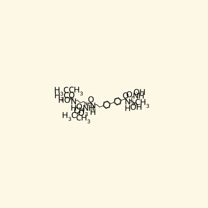 C[C@@H](O)[C@H](NC(=O)c1ccc(-c2ccc(CCNC(=O)[C@H](CCCN[C@H](O)OC(C)(C)C)NC(=O)OC(C)(C)C)cc2)cc1)C(=O)NO